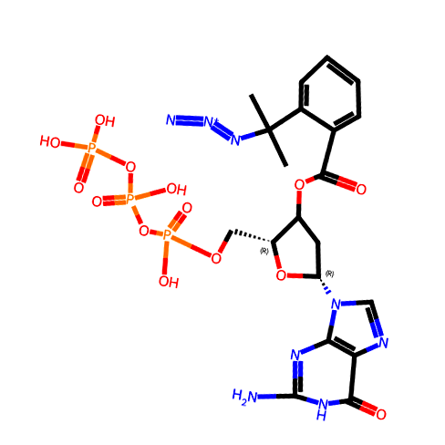 CC(C)(N=[N+]=[N-])c1ccccc1C(=O)OC1C[C@H](n2cnc3c(=O)[nH]c(N)nc32)O[C@@H]1COP(=O)(O)OP(=O)(O)OP(=O)(O)O